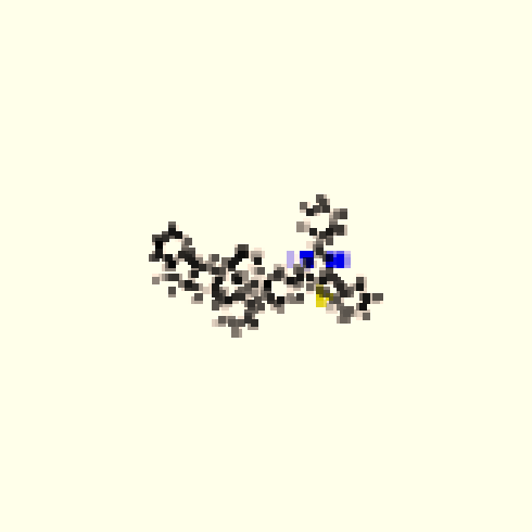 CC1(C)c2ccccc2-c2cc3c(cc21)-c1cccc(-c2ccc(C4NC(C5C=CC=CC5)Nc5c4sc4ccccc54)cc2)c1C31CCCCC1